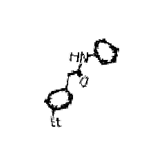 CCc1ccc(CC(=O)Nc2ccccc2)cc1